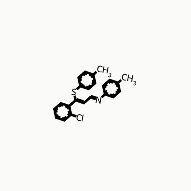 Cc1ccc(N=CC=C(Sc2ccc(C)cc2)c2ccccc2Cl)cc1